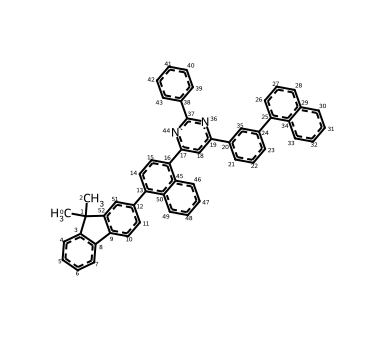 CC1(C)c2ccccc2-c2ccc(-c3ccc(-c4cc(-c5cccc(-c6cccc7ccccc67)c5)nc(-c5ccccc5)n4)c4ccccc34)cc21